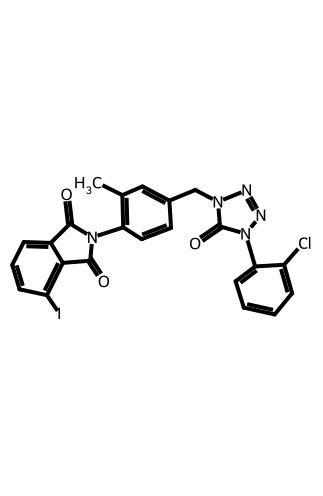 Cc1cc(Cn2nnn(-c3ccccc3Cl)c2=O)ccc1N1C(=O)c2cccc(I)c2C1=O